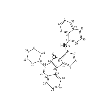 c1ccc2c(Nc3cccc4c3oc3c(C5CCCCC5)cc5ccccc5c34)cccc2c1